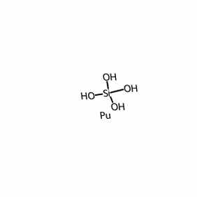 O[Si](O)(O)O.[Pu]